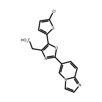 O=C(O)Cc1nc(-c2ccc3nccn3c2)oc1-c1ccc(Cl)s1